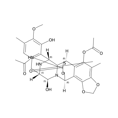 COc1c(C)cc2c(c1O)[C@H]1N[C@@H](C2)[C@H](O)N2C1[C@@H]1SCC(NC(C)=O)C(=O)OC[C@H]2c2c3c(c(C)c(OC(C)=O)c21)OCO3